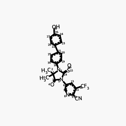 CC1(C)C(=O)N(c2cnc(C#N)c(C(F)(F)F)c2)C(=S=O)N1c1ccc(-c2ccc(O)cc2)cc1